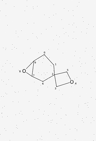 C1CC2(COC2)CC2OC12